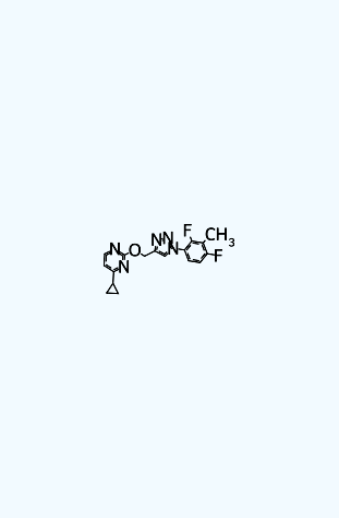 Cc1c(F)ccc(-n2cc(COc3nccc(C4CC4)n3)nn2)c1F